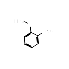 COc1ccccc1O[SiH3]